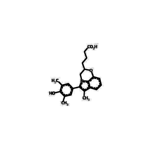 Cc1cc(-c2c(C)c3cccc4c3n2CC(CCCC(=O)O)O4)cc(C)c1O